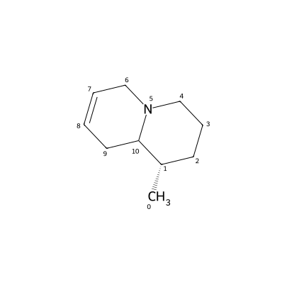 C[C@H]1CCCN2CC=CCC12